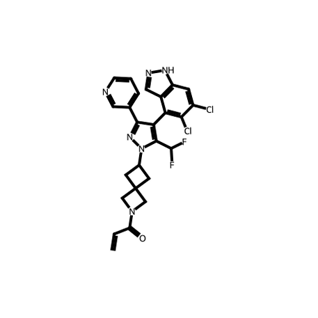 C=CC(=O)N1CC2(CC(n3nc(-c4cccnc4)c(-c4c(Cl)c(Cl)cc5[nH]ncc45)c3C(F)F)C2)C1